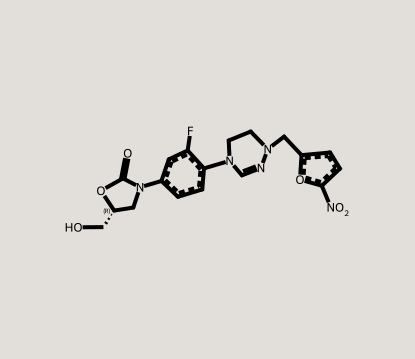 O=C1O[C@@H](CO)CN1c1ccc(N2C=NN(Cc3ccc([N+](=O)[O-])o3)CC2)c(F)c1